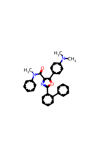 CN(C)c1ccc(-c2oc(-c3ccccc3-c3ccccc3)nc2C(=O)N(C)c2ccccc2)cc1